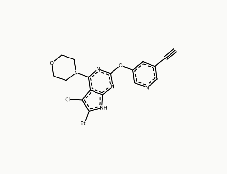 C#Cc1cncc(Oc2nc(N3CCOCC3)c3c(Cl)c(CC)[nH]c3n2)c1